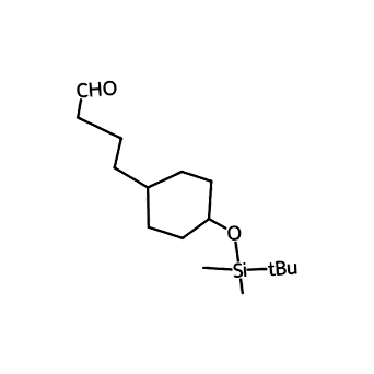 CC(C)(C)[Si](C)(C)OC1CCC(CCCC=O)CC1